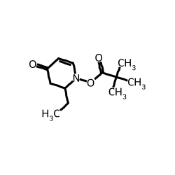 CCC1CC(=O)C=CN1OC(=O)C(C)(C)C